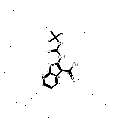 CC(C)(C)OC(=O)Nc1sc2ncccc2c1C(=O)O